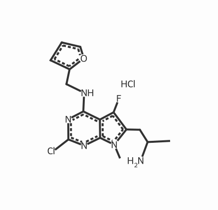 CC(N)Cc1c(F)c2c(NCc3ccco3)nc(Cl)nc2n1C.Cl